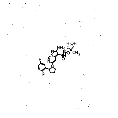 CC(C)(CO)ONC(=O)c1c(N)nn2cnc(N3CCCC3c3cc(F)ccc3F)cc12